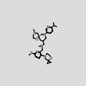 CSc1ccc(N2CCOC3(CC3)C2)c(CN(C)CC2CN(c3ccc(C(C)C)nc3)C[C@]3(C2)CN(C)CCO3)n1